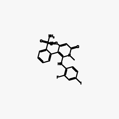 COc1cc(=O)n(C)c(Nc2ccc(I)cc2F)c1-c1ccccc1S(N)(=O)=O